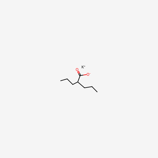 CCCC(CCC)C(=O)[O-].[K+]